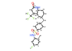 Cc1ccc(F)cc1NS(=O)(=O)c1ccc(Cc2ccc3[nH]c(=O)cc(C(F)(F)F)c3c2)cc1